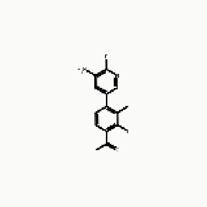 CC(=O)c1ccc(-c2cnc(F)c(N)c2)c(C)c1F